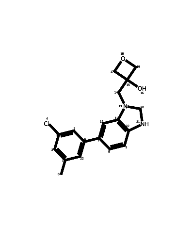 Cc1cc(Cl)cc(-c2ccc3c(c2)N(CC2(O)COC2)CN3)c1